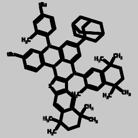 Cc1cc(C(C)(C)C)ccc1N1c2cc(C(C)(C)C)ccc2B2c3sc4cc5c(cc4c3N(c3cc4c(cc3C)C(C)(C)CCC4(C)C)c3cc(C46CC7CC(CC(C7)C4)C6)cc1c32)C(C)(C)CCC5(C)C